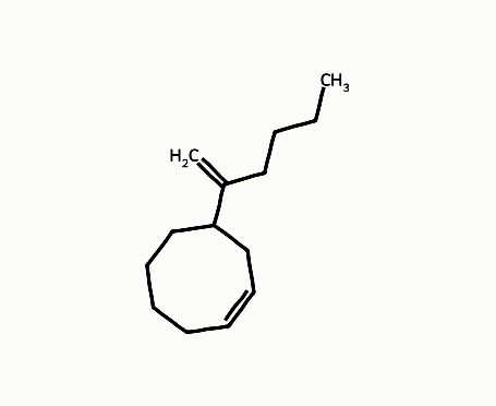 C=C(CCCC)C1CC=CCCCC1